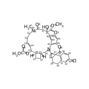 COC(=O)[C@@]1(O)CC(=O)N(C)CC/C=C/C(OC(C)=O)[C@@H]2CC[C@H]2CN2C[C@@]3(CCCc4cc(Cl)ccc43)COc3ccc1cc32